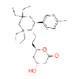 CCC1(CC)C[C@@H](c2ccc(C)cc2)[C@H](CC[C@@H]2C[C@@H](O)CC(=O)O2)C(CC)(CC)C1